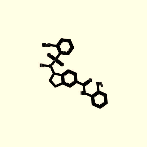 CCN(C1CCc2cc(C(=O)Nc3ccccc3N)ccc21)S(=O)(=O)c1ccccc1OC